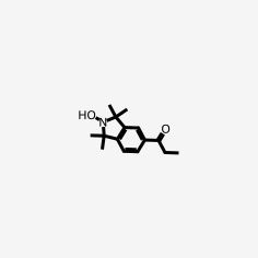 CCC(=O)c1ccc2c(c1)C(C)(C)N(O)C2(C)C